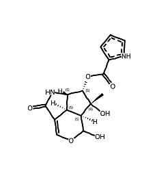 C[C@]1(O)[C@@H](OC(=O)c2ccc[nH]2)[C@H]2NC(=O)C3=COC(O)[C@H]1[C@@H]32